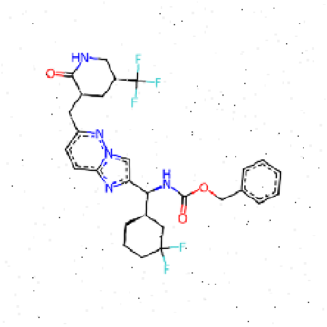 O=C(N[C@H](c1cn2nc(CC3C[C@H](C(F)(F)F)CNC3=O)ccc2n1)[C@@H]1CCCC(F)(F)C1)OCc1ccccc1